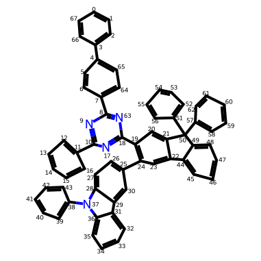 c1ccc(-c2ccc(-c3nc(-c4ccccc4)nc(-c4cc5c(cc4-c4ccc6c(c4)c4ccccc4n6-c4ccccc4)-c4ccccc4C5(c4ccccc4)c4ccccc4)n3)cc2)cc1